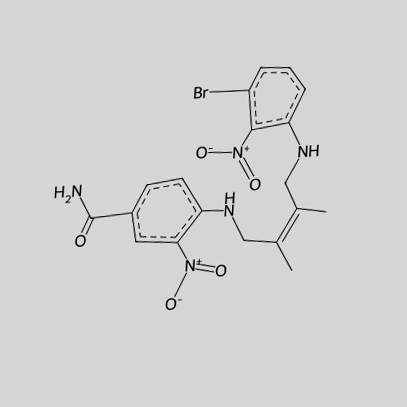 CC(CNc1ccc(C(N)=O)cc1[N+](=O)[O-])=C(C)CNc1cccc(Br)c1[N+](=O)[O-]